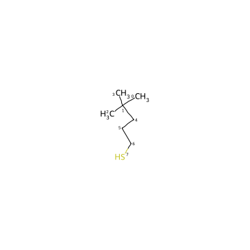 CC(C)(C)CCCS